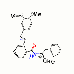 COc1ccc(/C=C/c2ccccc2C(=O)N[C@H](C=O)Cc2ccccc2)cc1OC